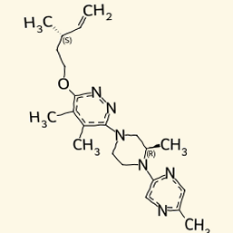 C=C[C@@H](C)CCOc1nnc(N2CCN(c3cnc(C)cn3)[C@H](C)C2)c(C)c1C